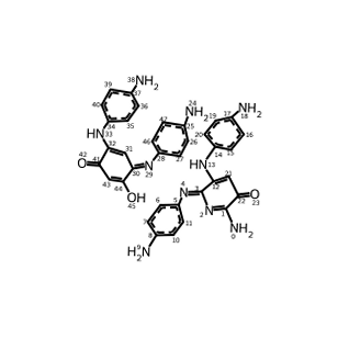 NC1=NC(=Nc2ccc(N)cc2)C(Nc2ccc(N)cc2)=CC1=O.Nc1ccc(N=C2C=C(Nc3ccc(N)cc3)C(=O)C=C2O)cc1